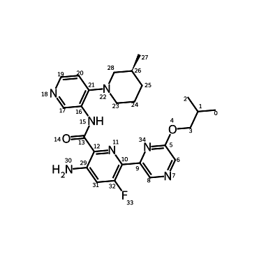 CC(C)COc1cncc(-c2nc(C(=O)Nc3cnccc3N3CCC[C@H](C)C3)c(N)cc2F)n1